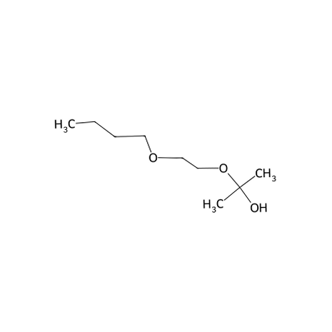 CCCCOCCOC(C)(C)O